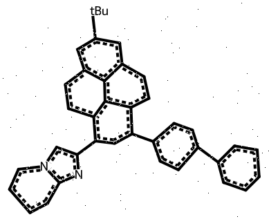 CC(C)(C)c1cc2ccc3c(-c4ccc(-c5ccccc5)cc4)cc(-c4cn5ccccc5n4)c4ccc(c1)c2c34